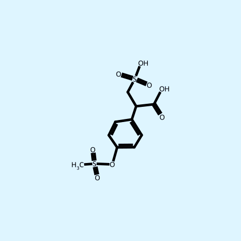 CS(=O)(=O)Oc1ccc(C(CS(=O)(=O)O)C(=O)O)cc1